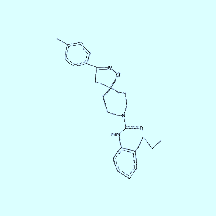 CCCc1ccccc1NC(=O)N1CCC2(CC1)CC(c1ccc(C)cc1)=NO2